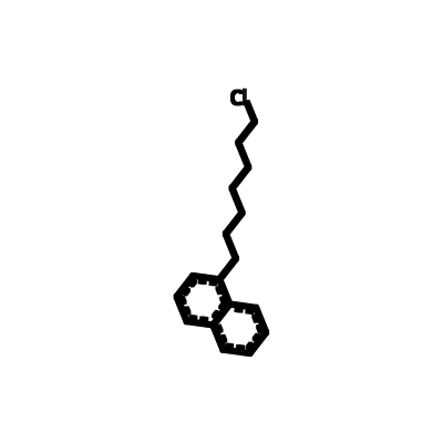 ClCCCCCCCc1cccc2ccccc12